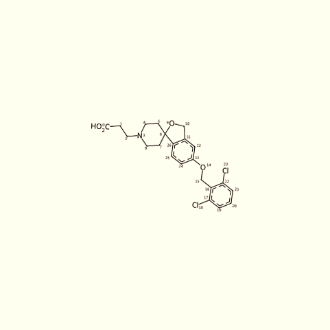 O=C(O)CCN1CCC2(CC1)OCc1cc(OCc3c(Cl)cccc3Cl)ccc12